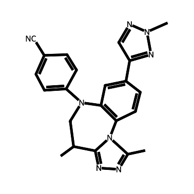 Cc1nnc2n1-c1ccc(-c3cnn(C)n3)cc1N(c1ccc(C#N)cc1)CC2C